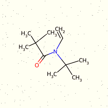 C=CN(C(=O)C(C)(C)C)C(C)(C)C